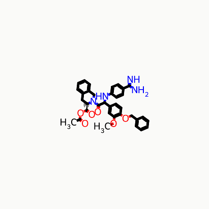 COc1cc(C(Nc2ccc(C(=N)N)cc2)C(=O)N2Cc3ccccc3C[C@@H]2C(=O)OC(C)=O)ccc1OCc1ccccc1